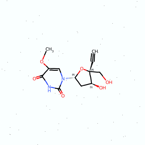 C#C[C@]1(CO)O[C@@H](n2cc(OC)c(=O)[nH]c2=O)C[C@@H]1O